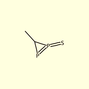 CC1P=P1=S